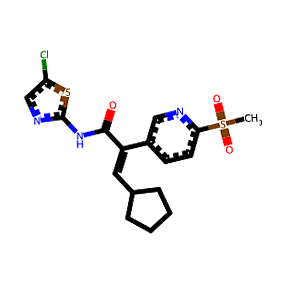 CS(=O)(=O)c1ccc(/C(=C\C2CCCC2)C(=O)Nc2ncc(Cl)s2)cn1